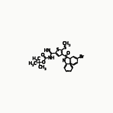 CSc1sc(C(=N)NC(=O)OC(C)(C)C)cc1S(=O)(=Nc1ccccc1)c1cccc(Br)c1